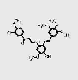 COc1cc(NC=CC(=O)c2ccc(OC)c(Cl)c2)c(C=Cc2cc(OC)c(OC)c(OC)c2)cc1O